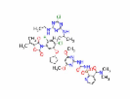 CC(C)=C1OC(=O)N(c2cc(OC3CCCC3)c(Cl)cc2F)C1=O.CCNc1nc(Cl)nc(NC(C)C)n1.COc1cc(OC)nc(NC(=O)NS(=O)(=O)c2ncccc2C(=O)N(C)C)n1